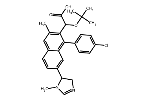 Cc1cc2ccc(C3CN=CN3C)cc2c(-c2ccc(Cl)cc2)c1C(OC(C)(C)C)C(=O)O